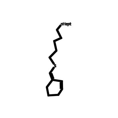 CCCCCCCCCCCCSC=C1C=CCCC1